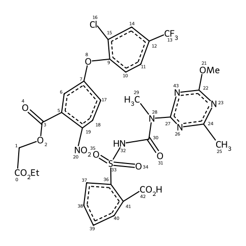 CCOC(=O)COC(=O)c1cc(Oc2ccc(C(F)(F)F)cc2Cl)ccc1[N+](=O)[O-].COc1nc(C)nc(N(C)C(=O)NS(=O)(=O)c2ccccc2C(=O)O)n1